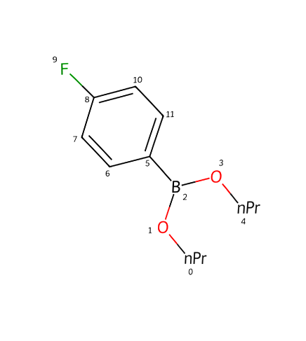 CCCOB(OCCC)c1ccc(F)cc1